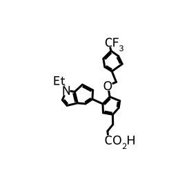 CCn1ccc2cc(-c3cc(CCC(=O)O)ccc3OCc3ccc(C(F)(F)F)cc3)ccc21